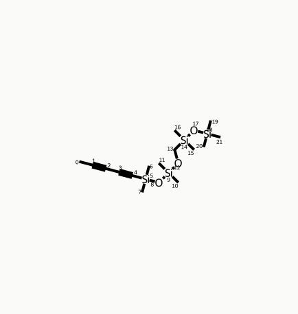 CC#CC#C[Si](C)(C)O[Si](C)(C)OC[Si](C)(C)O[Si](C)(C)C